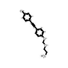 CCCOCOc1ccc(C#Cc2ccc(Cl)cc2)cc1